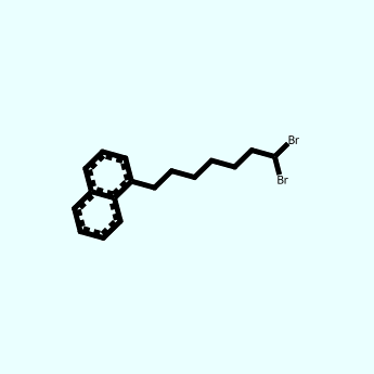 BrC(Br)CCCCCCc1cccc2ccccc12